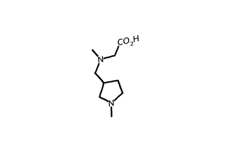 CN1CCC(CN(C)CC(=O)O)C1